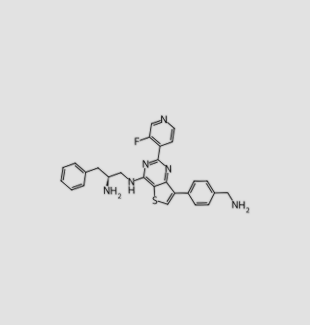 NCc1ccc(-c2csc3c(NC[C@@H](N)Cc4ccccc4)nc(-c4ccncc4F)nc23)cc1